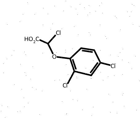 O=C(O)C(Cl)Oc1ccc(Cl)cc1Cl